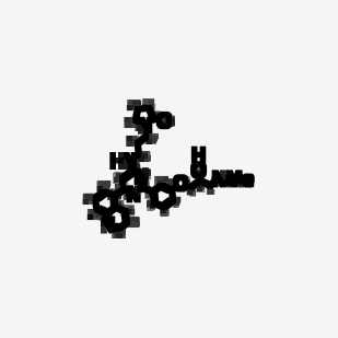 CNCC(O)COc1cccc(-c2nc(NCCCN3CCCC3=O)cc(-c3cccc4ncccc34)n2)c1